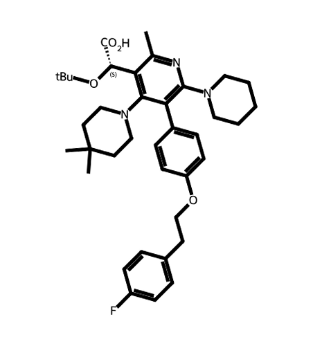 Cc1nc(N2CCCCC2)c(-c2ccc(OCCc3ccc(F)cc3)cc2)c(N2CCC(C)(C)CC2)c1[C@H](OC(C)(C)C)C(=O)O